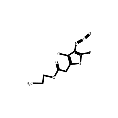 CCCOC(=O)Cc1sc(F)c(N=C=S)c1Cl